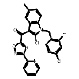 Cc1ccc2c(c1)c(C(=O)c1nc(-c3ccccn3)no1)c(Cl)n2Cc1ccc(Cl)cc1Cl